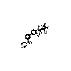 COC1C=C(c2cccc(C(=O)N3CCOCC3)c2)CCC1NC(=O)c1[nH]c(C)c(Cl)c1Cl